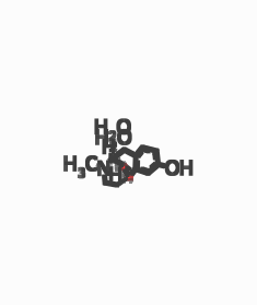 CN1CC[C@]23CCCC[C@H]2[C@H]1Cc1ccc(O)cc13.O.O